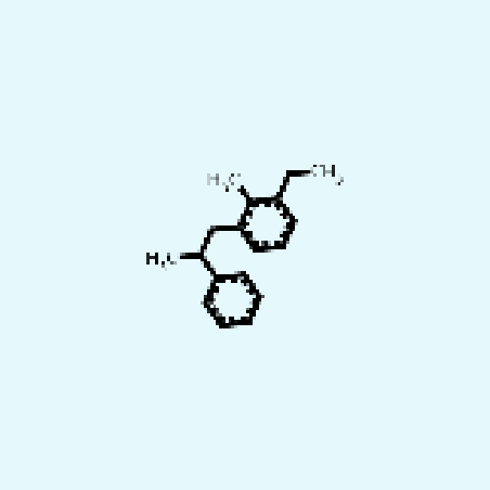 CCc1cccc(CC(C)c2ccccc2)c1C